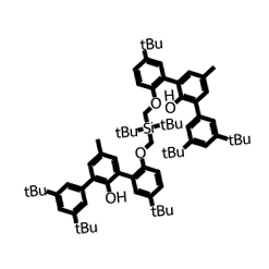 Cc1cc(-c2cc(C(C)(C)C)cc(C(C)(C)C)c2)c(O)c(-c2cc(C(C)(C)C)ccc2OC[Si](COc2ccc(C(C)(C)C)cc2-c2cc(C)cc(-c3cc(C(C)(C)C)cc(C(C)(C)C)c3)c2O)(C(C)(C)C)C(C)(C)C)c1